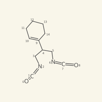 O=C=NCC(CN=C=O)C1=CCCCC1